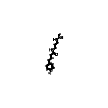 CNNCCCNC(=O)CCCc1ccc(I)cc1